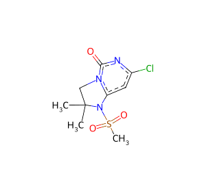 CC1(C)Cn2c(cc(Cl)nc2=O)N1S(C)(=O)=O